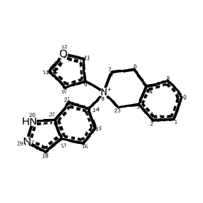 c1ccc2c(c1)CC[N+](c1ccoc1)(c1ccc3cn[nH]c3c1)C2